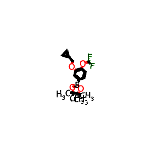 CC1(C)OB(c2ccc(OC(F)F)c(OCC3CC3)c2)OC1(C)C